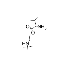 CC(C)C(N)C(=O)OCCNC(C)(C)C